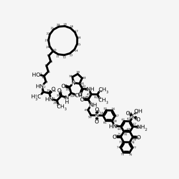 CC(NCC(O)CCCCC1CCCCCCCCCCCCCC1)C(=O)NC(C)C(=O)NC(C)C(=O)N1CCCC1C(=O)NC(C(=O)NCCS(=O)(=O)c1cccc(Nc2cc(S(=O)(=O)O)c(N)c3c2C(=O)c2ccccc2C3=O)c1)C(C)C